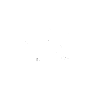 COC(=O)C1=C(C)NC(C)=C(c2ccccn2)C1N1CSc2ccccc21